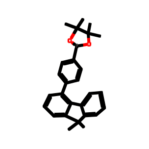 CC1(C)c2ccccc2-c2c(-c3ccc(B4OC(C)(C)C(C)(C)O4)cc3)cccc21